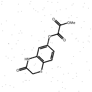 COC(=O)C(=O)Oc1ccc2c(c1)NC(=O)CS2